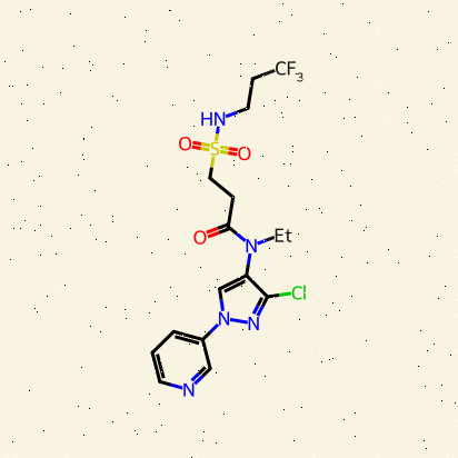 CCN(C(=O)CCS(=O)(=O)NCCC(F)(F)F)c1cn(-c2cccnc2)nc1Cl